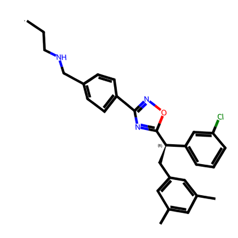 [CH2]CCNCc1ccc(-c2noc([C@H](Cc3cc(C)cc(C)c3)c3cccc(Cl)c3)n2)cc1